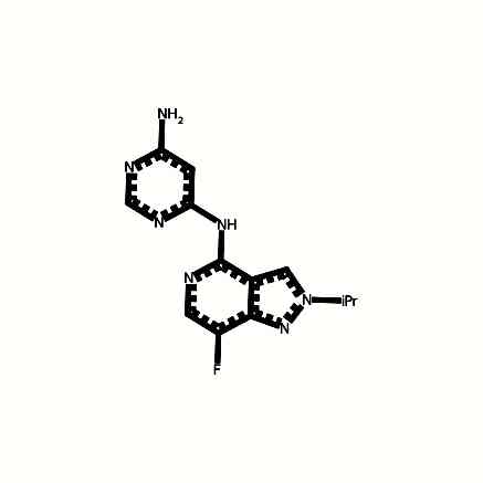 CC(C)n1cc2c(Nc3cc(N)ncn3)ncc(F)c2n1